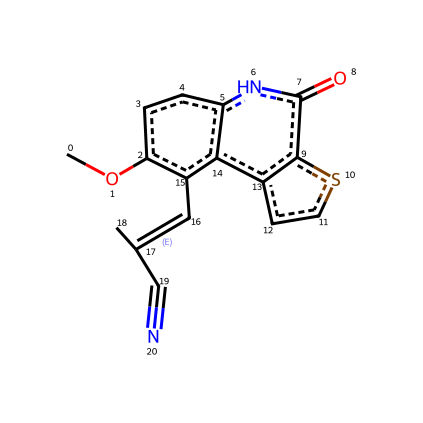 COc1ccc2[nH]c(=O)c3sccc3c2c1/C=C(\C)C#N